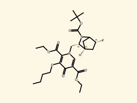 CCCCOc1c(C(=O)OCC)n(C[C@H]2[C@H]3CC([C@H](F)C3)N2C(=O)OC(C)(C)C)cc(C(=O)OCC)c1=O